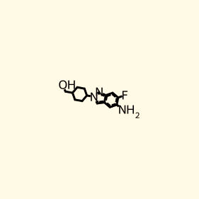 Nc1cc2cn(C3CCC(CO)CC3)nc2cc1F